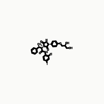 C[C@@H](c1ccccc1)[C@@H](C(=O)Nc1ccc(I)cc1Cl)N1C(=O)N[C@H](c2ccc(OC[C@@H](O)CO)cc2)C1=O